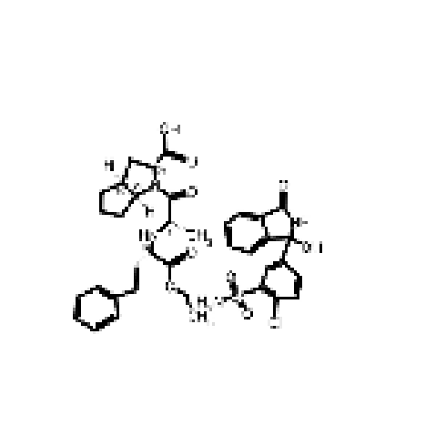 CCOC(=O)[C@H](CCc1ccccc1)N[C@@H](C)C(=O)N1[C@H](C(=O)O)C[C@@H]2CCC[C@@H]21.NS(=O)(=O)c1cc(C2(O)NC(=O)c3ccccc32)ccc1Cl